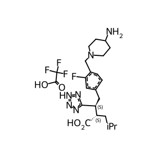 CC(C)C[C@H](C(=O)O)[C@H](Cc1ccc(CN2CCC(N)CC2)c(F)c1)c1nn[nH]n1.O=C(O)C(F)(F)F